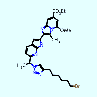 CCOC(=O)c1cc(OC)n2c(C)c(-c3cc4ccc(C(C)n5cc(CCCCCCBr)nn5)nc4[nH]3)nc2c1